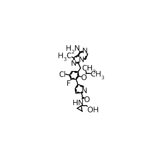 Cc1nc(Cc2cc(Cl)c(F)c(-c3ccc(C(=O)NC4(CO)CC4)nc3)c2OC(C)C)n2ccnc(N)c12